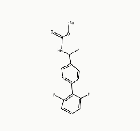 CC(NC(=O)OC(C)(C)C)c1ccc(-c2c(F)cccc2F)nc1